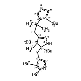 CC(C)(C)c1ncn(C[C@]2(C(C)(C)C)NN=C(CC(C)(C)c3cncn3C(C)(C)C)[C@@]2(C)C(C)(C)C)c1C(C)(C)C